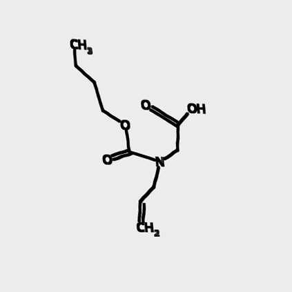 C=CCN(CC(=O)O)C(=O)OCCCC